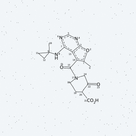 Cc1oc2ncnc(NC3(C)CC3)c2c1C(=O)N1CCC(C(=O)O)C(=O)C1